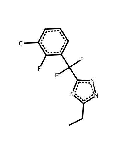 CCc1nnc(C(F)(F)c2cccc(Cl)c2F)s1